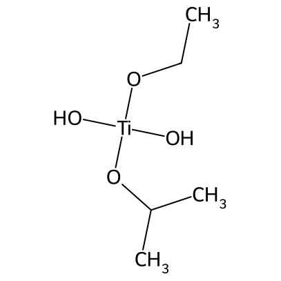 CC[O][Ti]([OH])([OH])[O]C(C)C